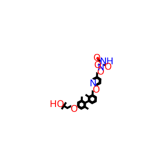 Cc1cc(OCCC(C)(C)O)cc(C)c1-c1cccc(COc2ccc(COn3oc(=O)[nH]c3=O)cn2)c1C